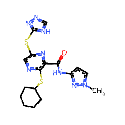 Cn1ccc(NC(=O)c2nc(Sc3nnc[nH]3)cnc2SC2CCCCC2)n1